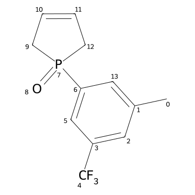 Cc1cc(C(F)(F)F)cc(P2(=O)CC=CC2)c1